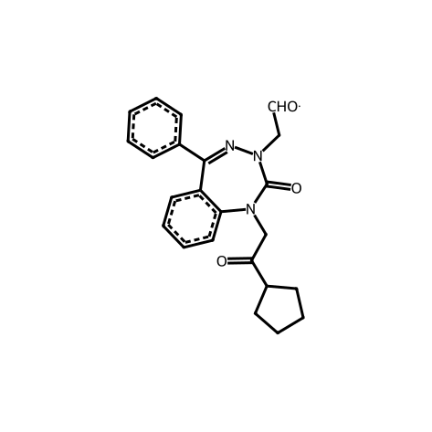 O=[C]CN1N=C(c2ccccc2)c2ccccc2N(CC(=O)C2CCCC2)C1=O